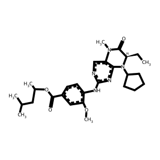 CC[C@@H]1C(=O)N(C)c2cnc(Nc3ccc(C(=O)OC(C)CC(C)C)cc3OC)nc2N1C1CCCC1